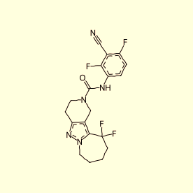 N#Cc1c(F)ccc(NC(=O)N2CCc3nn4c(c3C2)C(F)(F)CCCC4)c1F